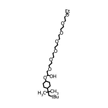 CCOCCOCCOCCOCCOCCOCCOCC(O)OC1CCC(C(C)(C)CC(C)(C)C)CC1